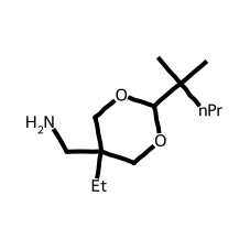 CCCC(C)(C)C1OCC(CC)(CN)CO1